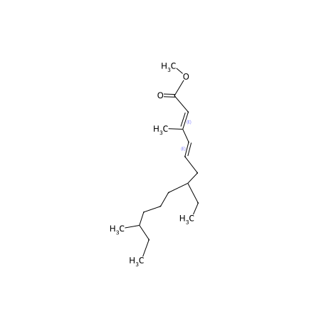 CCC(C)CCCC(CC)C/C=C/C(C)=C/C(=O)OC